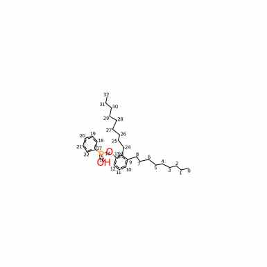 CCCCCCCCCc1cccc(OP(O)c2ccccc2)c1CCCCCCCCC